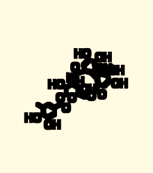 Cc1cc(C(=O)O[C@@H]2OC3COC(=O)c4cc(O)c(O)c(O)c4-c4c(cc(O)c(O)c4O)C(=O)O[C@H](C2O)[C@@H]3O)cc(O)c1O